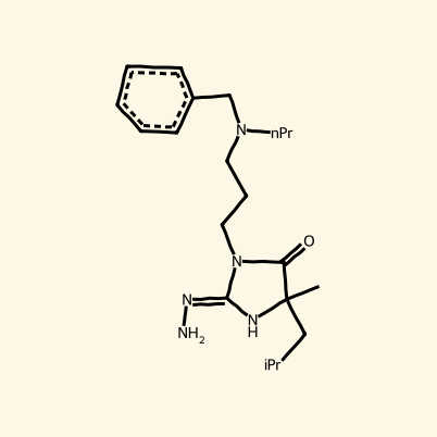 CCCN(CCCN1C(=O)C(C)(CC(C)C)NC1=NN)Cc1ccccc1